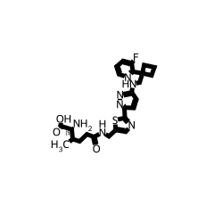 CC(CCC(=O)NCc1cnc(-c2ccc(NCC3(c4ncccc4F)CCC3)nn2)s1)[C@H](N)C(=O)O